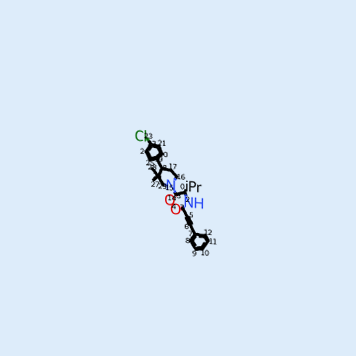 CC(C)[C@@H](NC(=O)C#Cc1ccccc1)C(=O)N1CCC(c2ccc(Cl)cc2)C(C)(C)C1